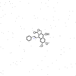 COc1cc2c(O)c3c(c(/C=C/c4ccccc4)c2cc1OC)C(=O)OC3